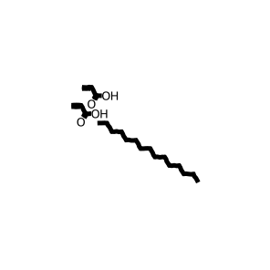 C=CC(=O)O.C=CC(=O)O.CCCCCCCCCCCCCCC